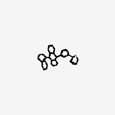 c1ccc(-c2cccc(-c3c4ccccc4c(-c4cccc5ccccc45)c4ccccc34)c2)nc1